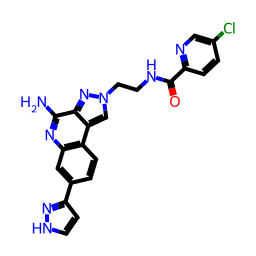 Nc1nc2cc(-c3cc[nH]n3)ccc2c2cn(CCNC(=O)c3ccc(Cl)cn3)nc12